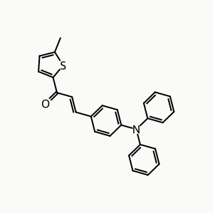 Cc1ccc(C(=O)C=Cc2ccc(N(c3ccccc3)c3ccccc3)cc2)s1